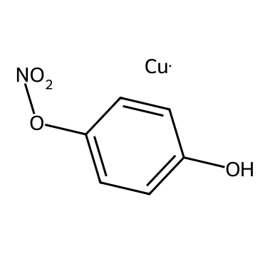 O=[N+]([O-])Oc1ccc(O)cc1.[Cu]